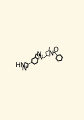 CC1CC(Cn2ncc3cc(-c4cn[nH]c4)ccc32)CN1C(=O)c1ccccc1